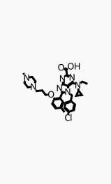 CCN(c1nc(C(=O)O)nc2nc(-c3cc(C)ccc3OCCCN3CCN(C)CC3)n(Cc3ccc(Cl)cc3)c12)C1CC1